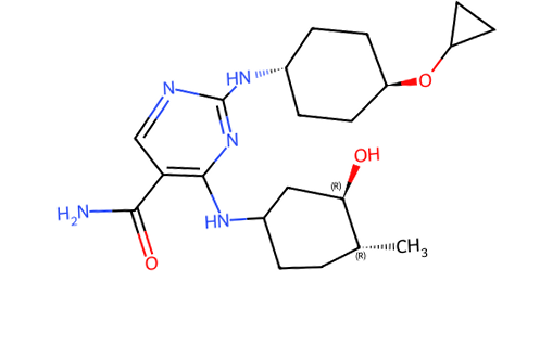 C[C@@H]1CCC(Nc2nc(N[C@H]3CC[C@H](OC4CC4)CC3)ncc2C(N)=O)C[C@H]1O